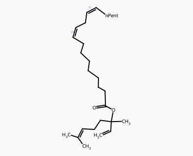 C=CC(C)(CCC=C(C)C)OC(=O)CCCCCCC/C=C\C/C=C\CCCCC